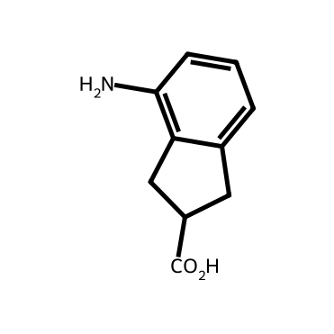 Nc1cccc2c1CC(C(=O)O)C2